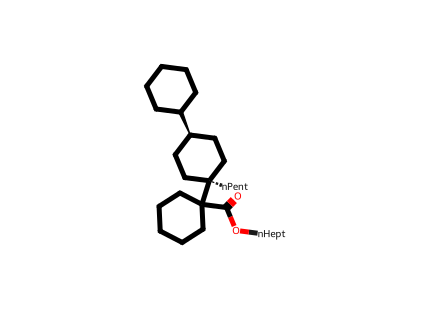 CCCCCCCOC(=O)C1([C@]2(CCCCC)CC[C@H](C3CCCCC3)CC2)CCCCC1